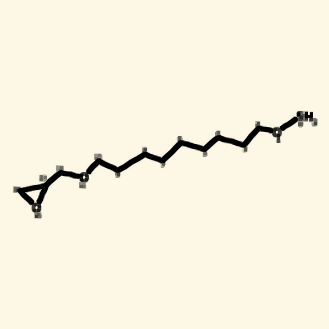 [SiH3]OCCCCCCCCCOCC1CO1